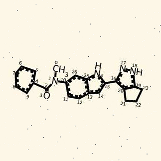 CN(C(=O)c1ccccc1)c1ccc2cc(-c3n[nH]c4c3CCC4)[nH]c2c1